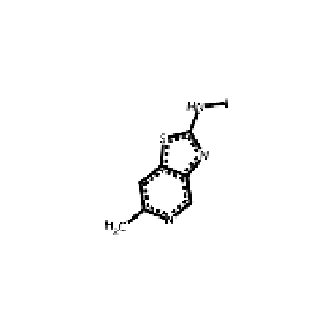 Cc1cc2sc(NI)nc2cn1